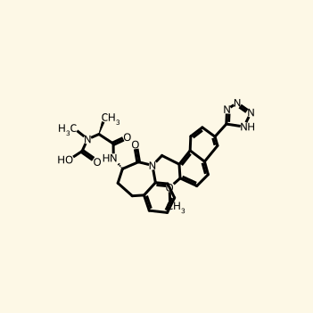 COc1ccc2cc(-c3nnn[nH]3)ccc2c1CN1C(=O)[C@@H](NC(=O)[C@H](C)N(C)C(=O)O)CCc2ccccc21